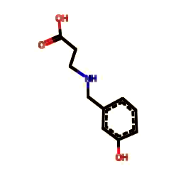 O=C(O)CCNCc1cccc(O)c1